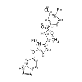 CCn1c(Oc2ccc3cc[nH]c3c2)nnc1[C@@H](C)NS(=O)(=O)c1ccc(F)c(Cl)c1